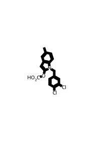 Cc1ccc2c(c1)cc(OC(=O)O)n2Cc1ccc(Cl)c(Cl)c1